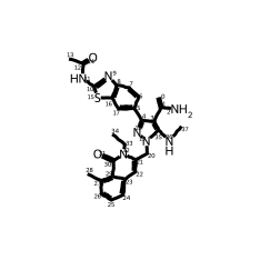 C=C(N)c1c(-c2ccc3nc(NC(C)=O)sc3c2)nn(Cc2cc3cccc(C)c3c(=O)n2CC)c1NC